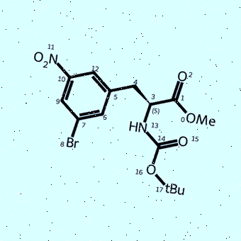 COC(=O)[C@H](Cc1cc(Br)cc([N+](=O)[O-])c1)NC(=O)OC(C)(C)C